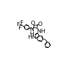 O=C1C(=O)C(Nc2c[nH]c3ccc(Cc4ccccc4)cc23)C1Nc1ccc(C(F)(F)F)cc1